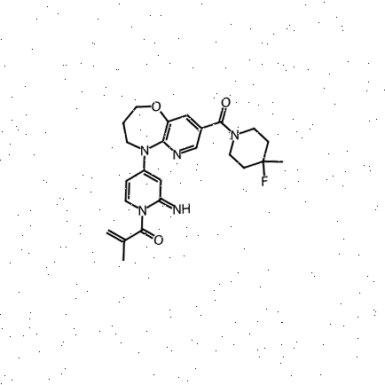 C=C(C)C(=O)n1ccc(N2CCCOc3cc(C(=O)N4CCC(C)(F)CC4)cnc32)cc1=N